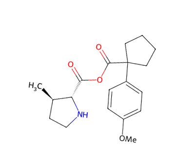 COc1ccc(C2(C(=O)OC(=O)[C@@H]3NCC[C@H]3C)CCCC2)cc1